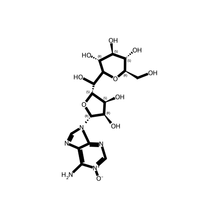 Nc1c2ncn([C@@H]3O[C@H](C(O)C4O[C@H](CO)[C@@H](O)[C@H](O)[C@H]4O)[C@@H](O)[C@H]3O)c2nc[n+]1[O-]